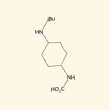 CCC(C)NC1CCC(NC(=O)O)CC1